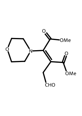 COC(=O)/C(CC=O)=C(\C(=O)OC)N1CCOCC1